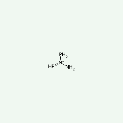 N[N+](=P)P